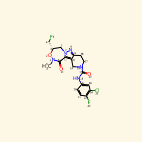 CN1O[C@H](CF)Cn2nc3c(c2C1=O)CN(C(=O)Nc1ccc(F)c(Cl)c1)CC3